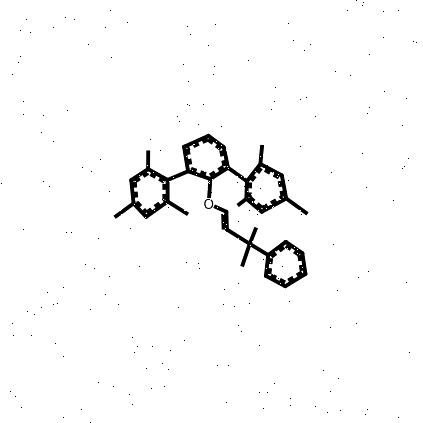 Cc1cc(C)c(-c2cccc(-c3c(C)cc(C)cc3C)c2O/C=C/C(C)(C)c2ccccc2)c(C)c1